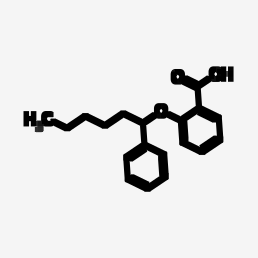 CCCCCC(Oc1ccccc1C(=O)O)c1ccccc1